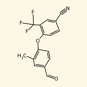 Cc1cc(C=O)ccc1Oc1ccc(C#N)cc1C(F)(F)F